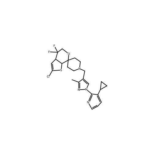 Cc1nn(-c2ncccc2C2CC2)cc1CN1CCC2(CC1)OCC(F)(F)C1C=C(Cl)SC12